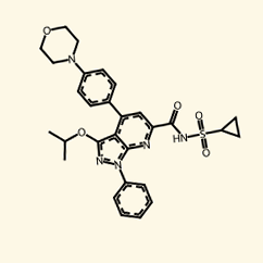 CC(C)Oc1nn(-c2ccccc2)c2nc(C(=O)NS(=O)(=O)C3CC3)cc(-c3ccc(N4CCOCC4)cc3)c12